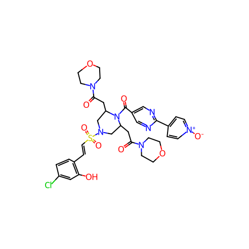 O=C(CC1CN(S(=O)(=O)C=Cc2ccc(Cl)cc2O)CC(CC(=O)N2CCOCC2)N1C(=O)c1cnc(-c2cc[n+]([O-])cc2)nc1)N1CCOCC1